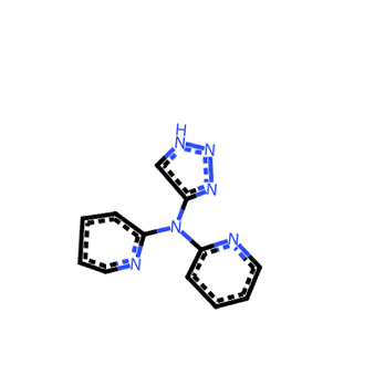 c1ccc(N(c2ccccn2)c2c[nH]nn2)nc1